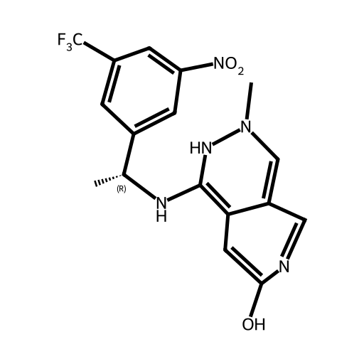 C[C@@H](NC1=c2cc(O)ncc2=CN(C)N1)c1cc([N+](=O)[O-])cc(C(F)(F)F)c1